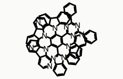 c1ccc(-c2nc(-c3ccccc3)nc(-c3c(-n4c5ccccc5c5ccncc54)c(-c4nc5ccccc5n4-c4ccccc4)c(-n4c5ccccc5c5ccncc54)c(-n4c5ccccc5c5ccncc54)c3-n3c4ccccc4c4ccncc43)n2)cc1